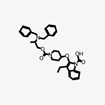 CCc1c(OC2CCN(C(=O)OCC(C)N(Cc3ccccc3)Cc3ccccc3)CC2)n(C(=O)O)c2ccccc12